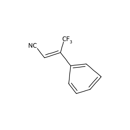 N#CC=C(c1ccccc1)C(F)(F)F